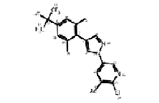 CC(=O)c1cc(-n2cc(-c3c(C)cc(C(F)(C(F)(F)F)C(F)(F)F)cc3C)cn2)cnc1Cl